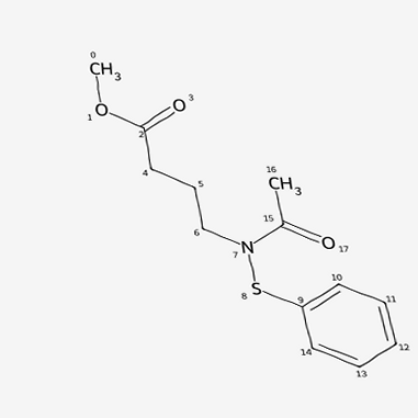 COC(=O)CCCN(Sc1ccccc1)C(C)=O